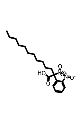 CCCCCCCCCCCC(C(=O)O)(c1ccccc1[N+](=O)[O-])[N+](=O)[O-]